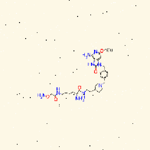 CCCCOc1cc2c([nH]c(=O)n2Cc2ccc(CN3CCC(CCNC(=O)[C@@H](N)CCCCNC(=O)CON)CC3)cc2)c(N)n1